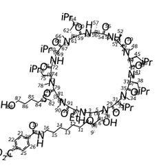 CC[C@@H]1NC(=O)[C@H]([C@H](O)[C@H](C)CCCCCCCNC(=O)c2ccc(C(=O)O)cc2)N(C)C(=O)[C@H](C(C)C)N(C)C(=O)[C@H](CC(C)C)N(C)C(=O)[C@H](CC(C)C)N(C)C(=O)[C@H](C)NC(=O)[C@@H](C)NC(=O)[C@@H](CCC(C)C)N(C)C(=O)[C@@H](C(C)C)NC(=O)[C@H](CC(C)C)N(C)C(=O)[C@@H](CSCCCCO)N(C)C1=O